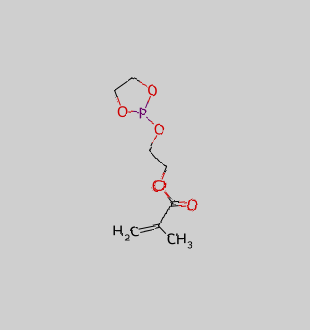 C=C(C)C(=O)OCCOP1OCCO1